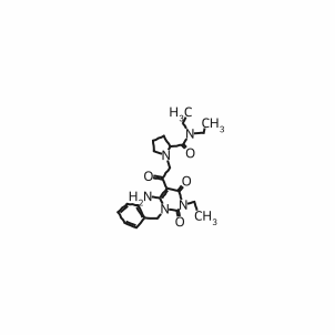 CCN(CC)C(=O)C1CCCN1CC(=O)c1c(N)n(Cc2ccccc2)c(=O)n(CC)c1=O